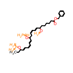 CCC(/C=C/C=C\C=C\C(C/C=C\C=C\C(CCCCCC(=O)OCc1ccccc1)OP)OPP)OP(P)P